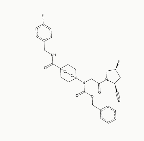 N#C[C@@H]1C[C@H](F)CN1C(=O)CN(C(=O)OCc1ccccc1)C12CCC(C(=O)NCc3ccc(F)cc3)(CC1)CC2